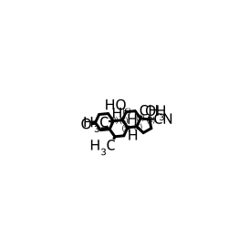 CC1C[C@@H]2[C@H]([C@@H](O)C[C@@]3(C)[C@H]2CC[C@]3(O)C#N)[C@@]2(C)CCC(=O)C=C12